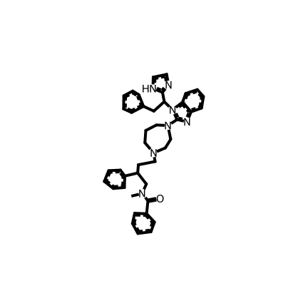 CN(CC(CCN1CCCN(c2nc3ccccc3n2C(Cc2ccccc2)c2ncc[nH]2)CC1)c1ccccc1)C(=O)c1ccccc1